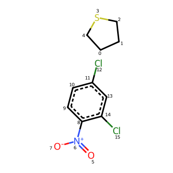 C1CCSC1.O=[N+]([O-])c1ccc(Cl)cc1Cl